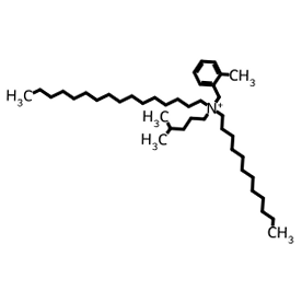 CCCCCCCCCCCCCCCC[N+](CCCCCCCCCCCC)(CCCC(C)C)Cc1ccccc1C